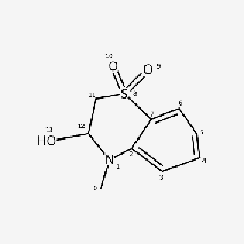 CN1c2ccccc2S(=O)(=O)CC1O